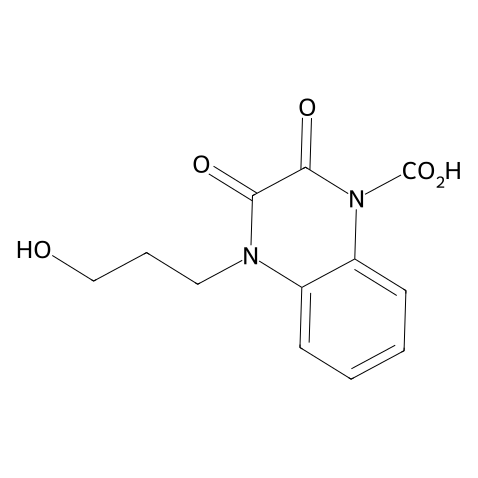 O=C(O)n1c(=O)c(=O)n(CCCO)c2ccccc21